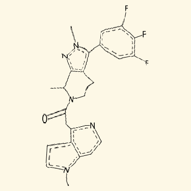 CC1c2nn(C)c(-c3cc(F)c(F)c(F)c3)c2CCN1C(=O)c1nccc2c1ccn2C